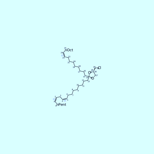 CCCCC/C=C\C/C=C\CCCCCCCCC1(CCCCCCCC/C=C\CCCCCCCC)OC[C@H](CCl)O1